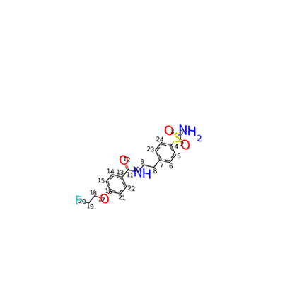 NS(=O)(=O)c1ccc(CCNC(=O)c2ccc(OCCF)cc2)cc1